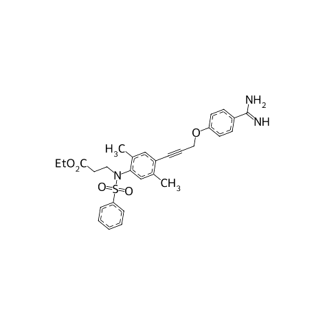 CCOC(=O)CCN(c1cc(C)c(C#CCOc2ccc(C(=N)N)cc2)cc1C)S(=O)(=O)c1ccccc1